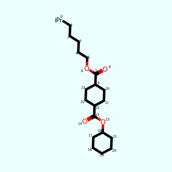 CC(C)CCCCCOC(=O)C1CCC(C(=O)OC2CCCCC2)CC1